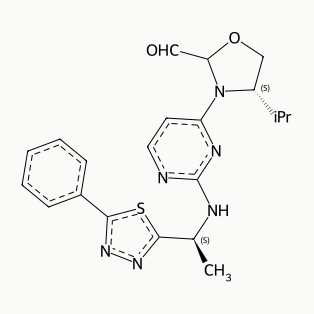 CC(C)[C@H]1COC(C=O)N1c1ccnc(N[C@@H](C)c2nnc(-c3ccccc3)s2)n1